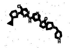 O=C1N(c2cncc(Nc3ncc(Cl)c(N4CCCC(C5CC5)C4)n3)c2)CCC12CCN(CC1CCNCC1)CC2